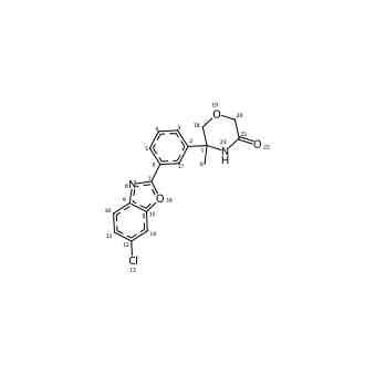 CC1(c2cccc(-c3nc4ccc(Cl)cc4o3)c2)COCC(=O)N1